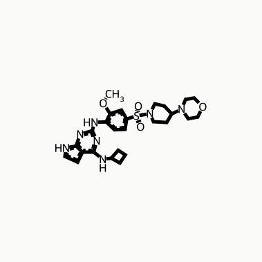 COc1cc(S(=O)(=O)N2CCC(N3CCOCC3)CC2)ccc1Nc1nc(NC2CCC2)c2cc[nH]c2n1